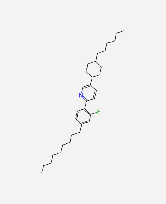 CCCCCCCCCc1ccc(-c2ccc(C3CCC(CCCCCC)CC3)cn2)c(F)c1